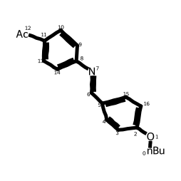 CCCCOc1ccc(C=Nc2ccc(C(C)=O)cc2)cc1